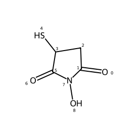 O=C1CC(S)C(=O)N1O